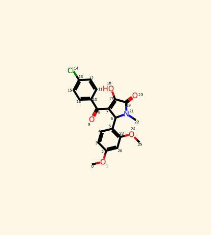 COc1ccc(C2C(C(=O)c3ccc(Cl)cc3)=C(O)C(=O)N2C)c(OC)c1